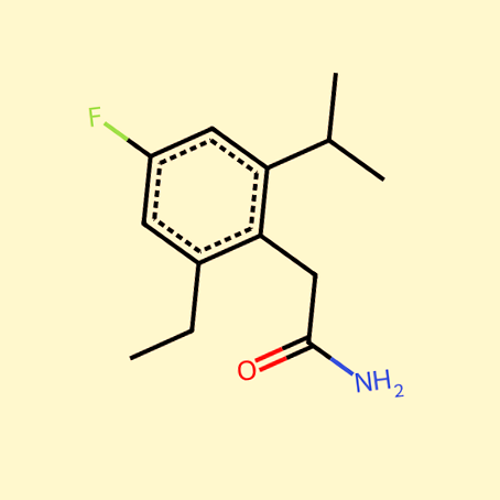 CCc1cc(F)cc(C(C)C)c1CC(N)=O